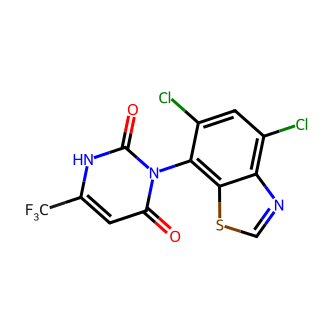 O=c1cc(C(F)(F)F)[nH]c(=O)n1-c1c(Cl)cc(Cl)c2ncsc12